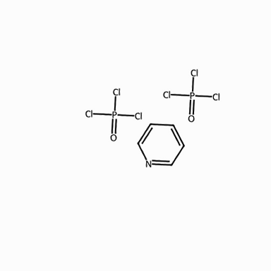 O=P(Cl)(Cl)Cl.O=P(Cl)(Cl)Cl.c1ccncc1